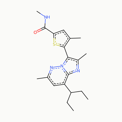 CCC(CC)c1cc(C)nn2c(-c3sc(C(=O)NC)cc3C)c(C)nc12